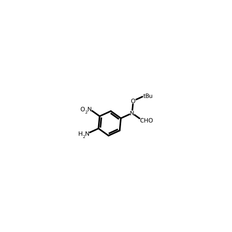 CC(C)(C)ON(C=O)c1ccc(N)c([N+](=O)[O-])c1